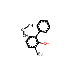 CC(C)(C)c1cccc(-c2ccccc2)c1O.[CH3][Zr][CH3]